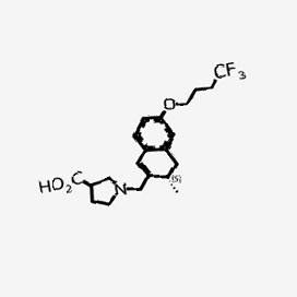 C[C@H]1Cc2cc(OCCCC(F)(F)F)ccc2C=C1CN1CCC(C(=O)O)C1